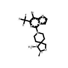 C[C@@H]1OCC2(CCN(c3nc(C(F)(F)F)c(Br)c4nccn34)CC2)[C@@H]1N